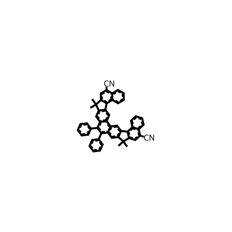 CC1(C)c2cc3c(-c4ccccc4)c(-c4ccccc4)c4cc5c(cc4c3cc2-c2c1cc(C#N)c1ccccc21)-c1c(cc(C#N)c2ccccc12)C5(C)C